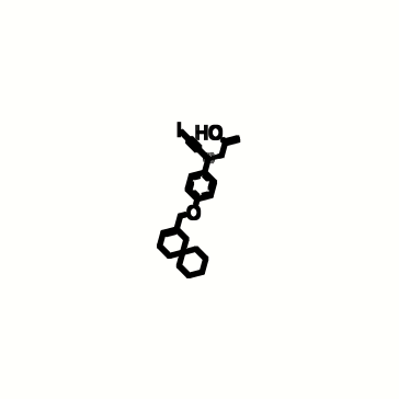 C=C(O)C[C@H](C#CI)c1ccc(OCC2=CCCC3(CCCCC3)C2)cc1